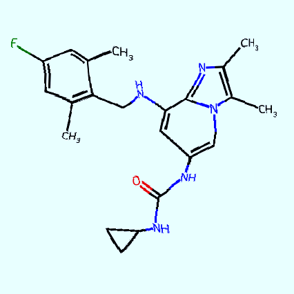 Cc1cc(F)cc(C)c1CNc1cc(NC(=O)NC2CC2)cn2c(C)c(C)nc12